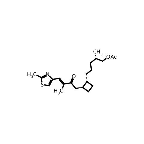 CC(=O)OC[C@@H](C)CCC[C@@H]1CC[C@H]1CC(=O)/C(C)=C/c1csc(C)n1